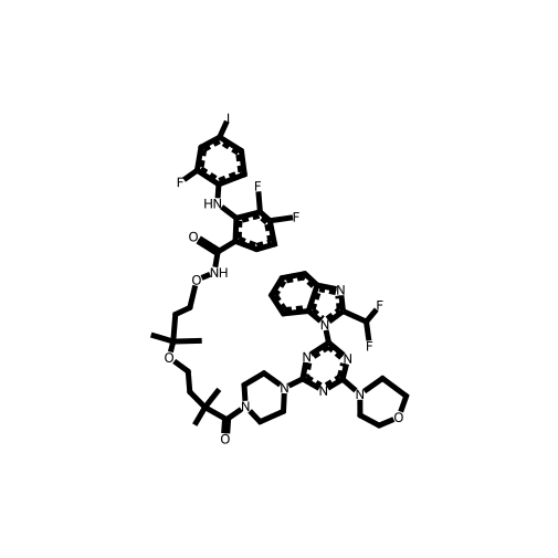 CC(C)(CCONC(=O)c1ccc(F)c(F)c1Nc1ccc(I)cc1F)OCCC(C)(C)C(=O)N1CCN(c2nc(N3CCOCC3)nc(-n3c(C(F)F)nc4ccccc43)n2)CC1